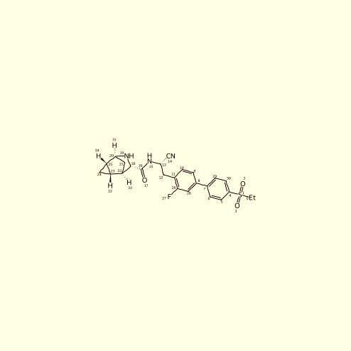 CCS(=O)(=O)c1ccc(-c2ccc(C[C@@H](C#N)NC(=O)[C@H]3N[C@H]4C[C@@H]3[C@@H]3C[C@@H]34)c(F)c2)cc1